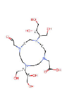 O=CCN1CCN(C(CO)[C@H](O)CO)CCN(CC(=O)O)CCN([C@@H](CO)[C@@H](O)CO)CC1